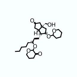 CCCCC[C@@H](C=C[C@@H]1[C@H]2CC(=O)C[C@@]2(CO)C[C@H]1OC1CCCCO1)OC1OCCCC1=O